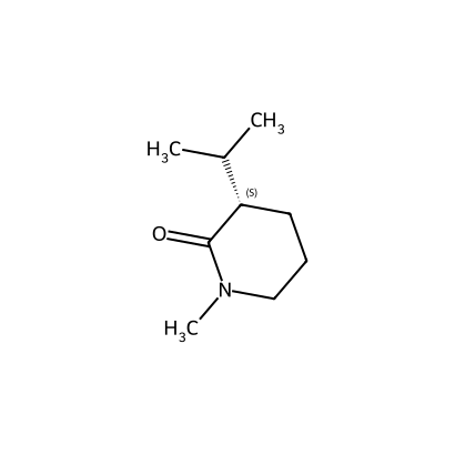 CC(C)[C@@H]1CCCN(C)C1=O